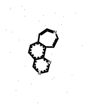 C1=Cc2ccc3cncnc3c2C=CN=1